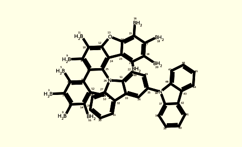 Bc1c(B)c(B)c(-c2c(B)c(B)c3oc4c(B)c(B)c(B)c(B)c4c3c2-n2c3ccccc3c3cc(-n4c5ccccc5c5ccccc54)ccc32)c(B)c1B